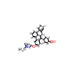 CN(C)CCOc1ccc(/C(=C(/CC2CC3CCC2C3)c2ccccc2)c2ccc(O)cc2)cc1